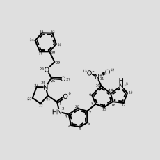 O=C(Nc1cccc(-c2cc([N+](=O)[O-])c3[nH]ccc3c2)c1)C1CCCN1C(=O)OCc1ccccc1